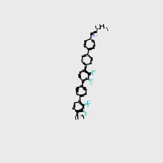 C/C=C/C1CCC(C2CCC(c3ccc(-c4ccc(-c5ccc(CCC)c(F)c5F)cc4)c(F)c3F)CC2)CC1